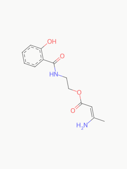 CC(N)=CC(=O)OCCNC(=O)c1ccccc1O